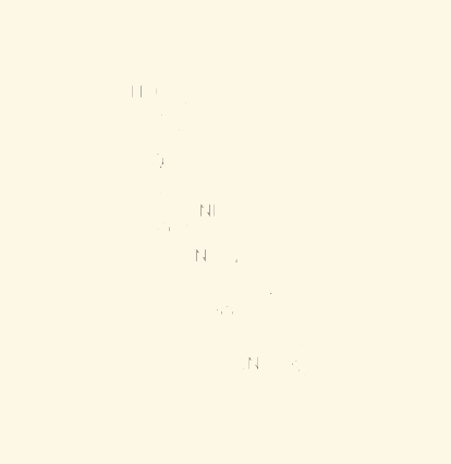 CC(C)(O)C1CCC(NC(=O)N2CC(Oc3cccc4scnc34)C2)CO1